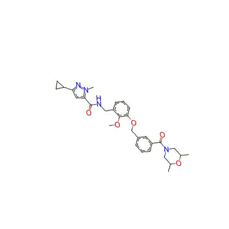 COc1c(CNC(=O)c2cc(C3CC3)nn2C)cccc1OCc1cccc(C(=O)N2CC(C)OC(C)C2)c1